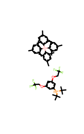 CC(C)(C)[PH+](c1cc(OCC(F)(F)F)cc(OCC(F)(F)F)c1)C(C)(C)C.Cc1cc(C)c([B-](c2c(C)cc(C)cc2C)(c2c(C)cc(C)cc2C)c2c(C)cc(C)cc2C)c(C)c1